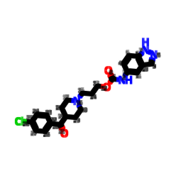 O=C(Nc1ccc2[nH]ncc2c1)OCCCN1CCC(C(=O)c2ccc(Cl)cc2)CC1